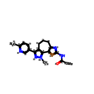 COC(=O)Nc1nc2c(s1)-c1c(c(-c3ccc(C)nc3)nn1C)CCC2